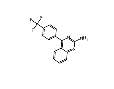 Nc1nc(-c2ccc(C(F)(F)F)cc2)c2ccc[c]c2n1